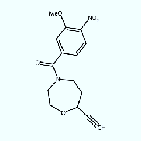 C#CC1CCN(C(=O)c2ccc([N+](=O)[O-])c(OC)c2)CCO1